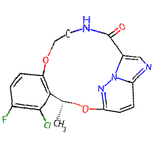 C[C@H]1Oc2ccc3ncc(n3n2)C(=O)NCCOc2ccc(F)c(Cl)c21